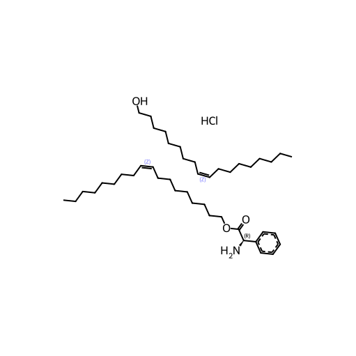 CCCCCCCC/C=C\CCCCCCCCO.CCCCCCCC/C=C\CCCCCCCCOC(=O)[C@H](N)c1ccccc1.Cl